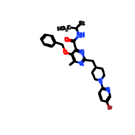 CCC(NC(=O)c1nc(CC2CCN(c3ccc(Br)cn3)CC2)nc(C)c1OCc1ccccc1)C(=O)O